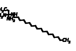 CCCCCCCCCCCCCCCCCCNC(N)(N)CC